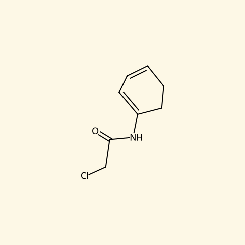 O=C(CCl)NC1=CC=CCC1